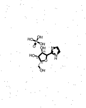 O=P(O)(O)O.OC[C@H]1OC(c2ncc[nH]2)[C@H](O)[C@@H]1O